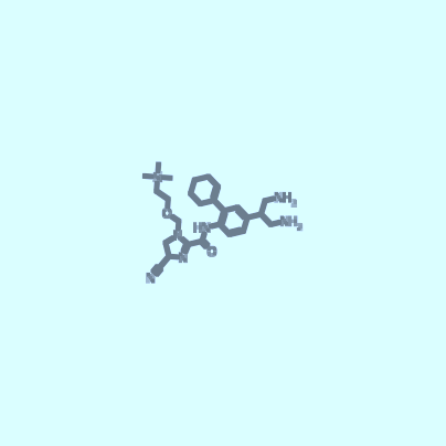 C[Si](C)(C)CCOCN1CC(C#N)N=C1C(=O)Nc1ccc(C(CN)CN)cc1C1=CCCCC1